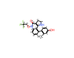 Cc1cc(O)ccc1-c1cccc2c1c1c(c(=O)n2OCC(F)(F)F)CCN1